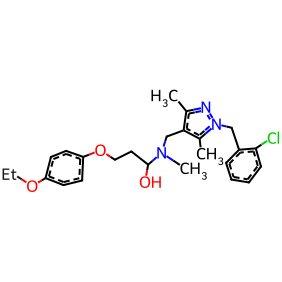 CCOc1ccc(OCCC(O)N(C)Cc2c(C)nn(Cc3ccccc3Cl)c2C)cc1